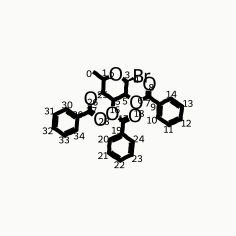 CC1O[C@@H](Br)C(OC(=O)c2ccccc2)C(OC(=O)c2ccccc2)[C@@H]1OC(=O)c1ccccc1